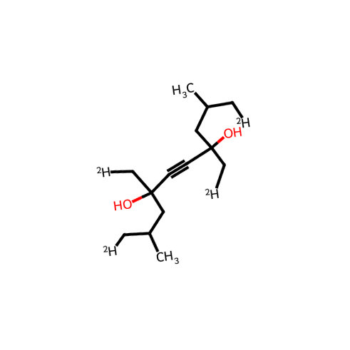 [2H]CC(C)CC(O)(C#CC(O)(C[2H])CC(C)C[2H])C[2H]